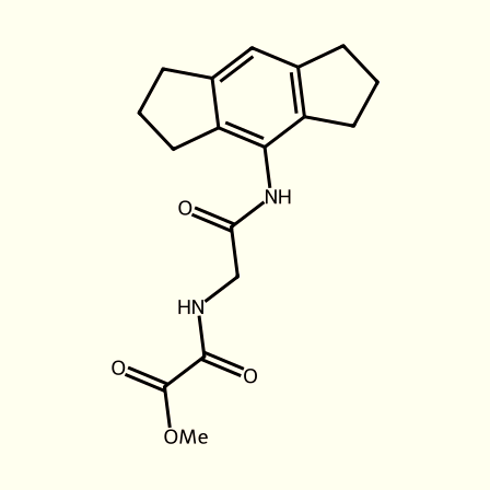 COC(=O)C(=O)NCC(=O)Nc1c2c(cc3c1CCC3)CCC2